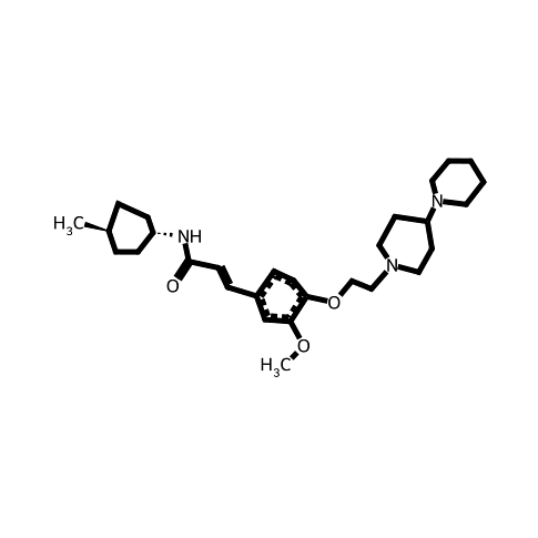 COc1cc(C=CC(=O)N[C@H]2CC[C@H](C)CC2)ccc1OCCN1CCC(N2CCCCC2)CC1